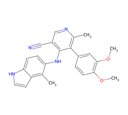 COc1ccc(-c2c(C)ncc(C#N)c2Nc2ccc3[nH]ccc3c2C)cc1OC